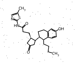 CCCCC1c2ccc(O)cc2CCC1C1CC(=O)C[C@H]1CCC(=O)Nc1ncc(C)s1